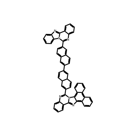 C1=CC2C=C(c3nc4ccccc4c4nc5c6ccccc6c6ccccc6c5n34)C=CC2C=C1c1ccc2cc(-c3nc4ccccc4c4nc5ccccc5n34)ccc2c1